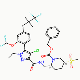 CCn1nc(C(=O)NC[C@H]2CC[C@@H](S(C)(=O)=O)CN2C(=O)OCc2ccccc2)c(Cl)c1-c1ccc(CC(C)(C)C(F)(F)F)cc1OC(F)F